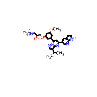 CNCC(O)COc1cc(OC)cc(-c2cc(-c3cnc4[nH]ccc4c3)nc3c(C(C)C)cnn23)c1